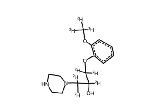 [2H]C([2H])([2H])Oc1ccccc1OC([2H])([2H])C([2H])(O)C([2H])([2H])N1CCNCC1